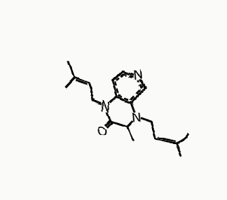 CC(C)=CCN1C(=O)C(C)N(CC=C(C)C)c2cnccc21